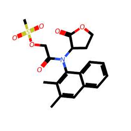 Cc1cc2ccccc2c(N(C(=O)COS(C)(=O)=O)C2CCOC2=O)c1C